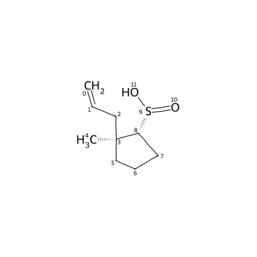 C=CC[C@]1(C)CCC[C@H]1S(=O)O